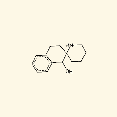 OC1c2ccccc2CCC12CCCCN2